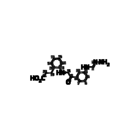 NN=CNc1cccc(C(=O)CNc2ccccc2CCC(=O)O)c1